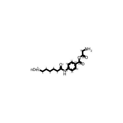 CCCCCCCCCCCCCCCC(=O)Nc1ccc(C(=O)OC(=O)CN)cc1